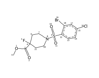 COC(=O)C1(F)CCN(S(=O)(=O)c2ccc(Cl)cc2Br)CC1